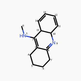 CNC1=C2CCCCC2=NC2C=CC=CC12